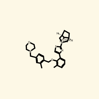 Cc1cc(CN2CCOCC2)ccc1COc1c(C)cccc1-c1csc(N2C[C@H]3CC[C@@H](C2)[C@H]3C(=O)O)n1